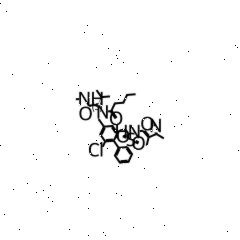 CCCCC(=O)N(Cc1ccc(-c2ccccc2S(=O)(=O)Nc2onc(C)c2C)c(Cl)c1)[C@H](C(=O)NC)C(C)C